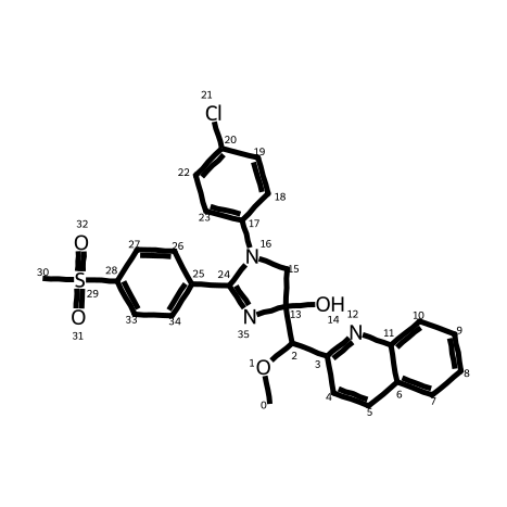 COC(c1ccc2ccccc2n1)C1(O)CN(c2ccc(Cl)cc2)C(c2ccc(S(C)(=O)=O)cc2)=N1